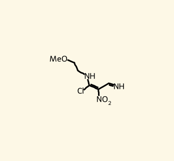 COCCN/C(Cl)=C(\C=N)[N+](=O)[O-]